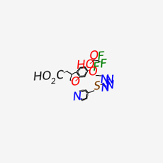 O=C(O)C(F)(F)F.O=C(O)CC1COc2cc(OCCn3nnnc3SCc3ccncc3)ccc21